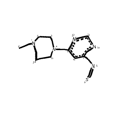 CN1CCN(c2cc(N=S)ncn2)CC1